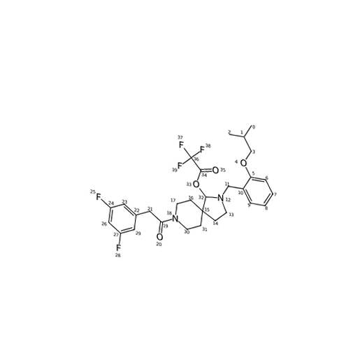 CC(C)COc1ccccc1CN1CCC2(CCN(C(=O)Cc3cc(F)cc(F)c3)CC2)C1OC(=O)C(F)(F)F